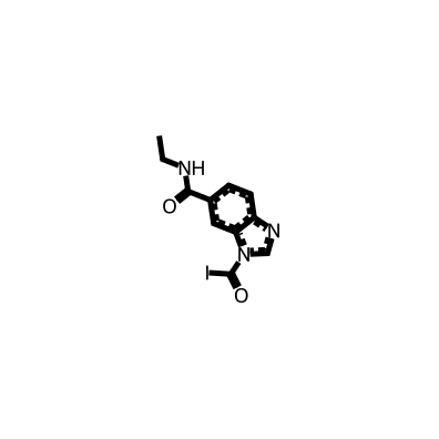 CCNC(=O)c1ccc2ncn(C(=O)I)c2c1